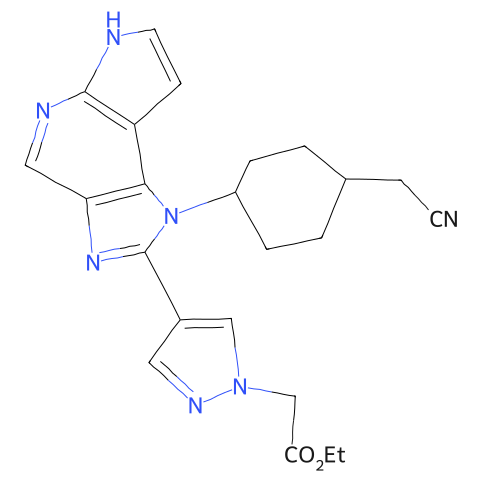 CCOC(=O)Cn1cc(-c2nc3cnc4[nH]ccc4c3n2C2CCC(CC#N)CC2)cn1